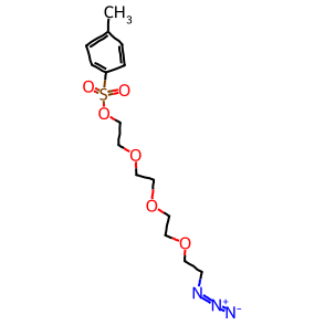 Cc1ccc(S(=O)(=O)OCCOCCOCCOCCN=[N+]=[N-])cc1